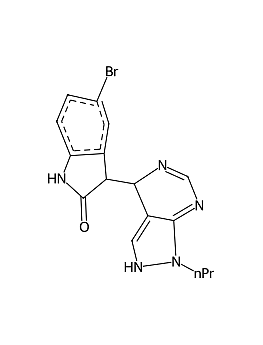 CCCN1NC=C2C1=NC=NC2C1C(=O)Nc2ccc(Br)cc21